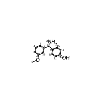 COc1cccc(C(N)c2ccc(O)cc2)c1